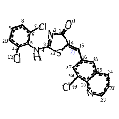 O=C1N=C(Nc2c(Cl)cccc2Cl)S/C1=C\c1cc(Cl)c2ncccc2c1